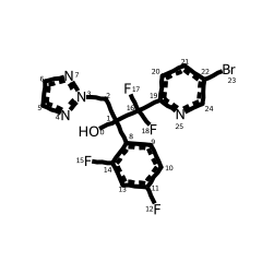 OC(Cn1nccn1)(c1ccc(F)cc1F)C(F)(F)c1ccc(Br)cn1